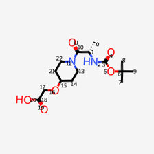 C[C@H](NC(=O)OC(C)(C)C)C(=O)N1CCC(OCC(=O)O)CC1